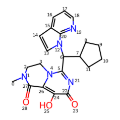 CN1CCn2c(C(C3CCCC3)n3ccc4cccnc43)nc(=O)c(O)c2C1=O